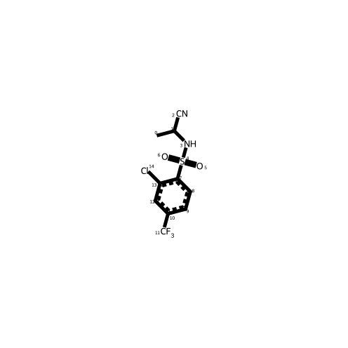 CC(C#N)NS(=O)(=O)c1ccc(C(F)(F)F)cc1Cl